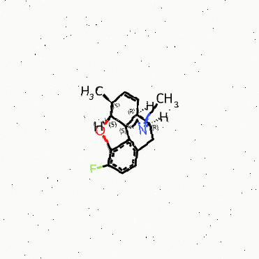 C[C@H]1C=C[C@H]2[C@H]3Cc4ccc(F)c5c4[C@@]2(CCN3C)[C@H]1O5